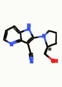 N#Cc1c(N2CCC[C@H]2CO)[nH]c2cccnc12